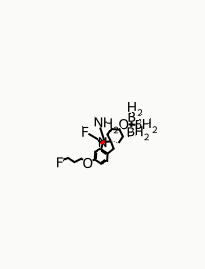 BC(B)(B)O[C@H]1CC[C@]2(CC1)Cc1ccc(OCCCF)cc1C21C=C(F)C(N)=N1